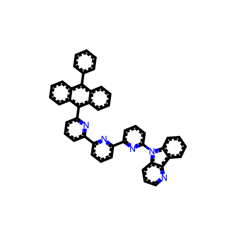 c1ccc(-c2c3ccccc3c(-c3cccc(-c4cccc(-c5cccc(-n6c7ccccc7c7ncccc76)n5)n4)n3)c3ccccc23)cc1